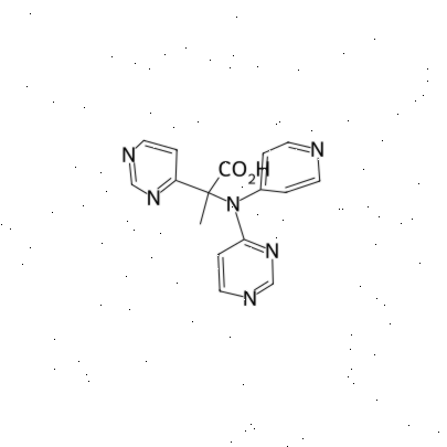 CC(C(=O)O)(c1ccncn1)N(c1ccncc1)c1ccncn1